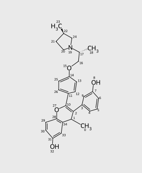 CC1C(c2cccc(O)c2)=C(c2ccc(OC[C@@H](C)N3CC[C@@H](C)C3)cc2)Oc2ccc(O)cc21